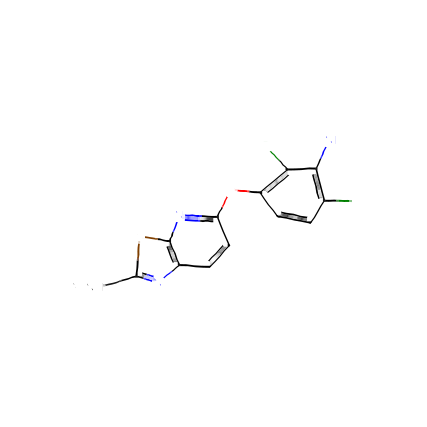 CC(=O)Nc1nc2ccc(Oc3ccc(F)c(N)c3F)nc2s1